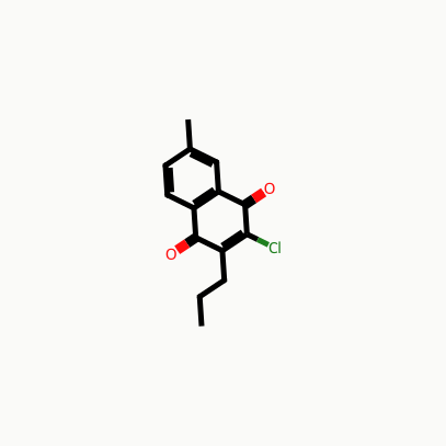 CCCC1=C(Cl)C(=O)c2cc(C)ccc2C1=O